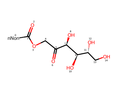 CCCCCCCCCC(=O)OCC(=O)[C@@H](O)[C@H](O)[C@H](O)CO